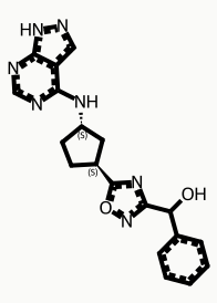 OC(c1ccccc1)c1noc([C@H]2CC[C@H](Nc3ncnc4[nH]ncc34)C2)n1